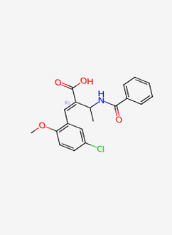 COc1ccc(Cl)cc1/C=C(/C(=O)O)C(C)NC(=O)c1ccccc1